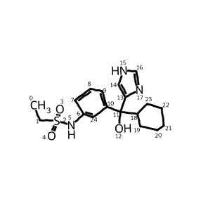 CCS(=O)(=O)Nc1cccc(C(O)(c2c[nH]cn2)C2CCCCC2)c1